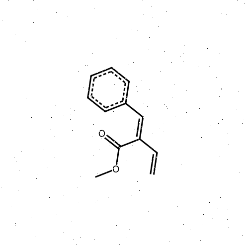 C=CC(=Cc1ccccc1)C(=O)OC